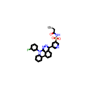 CC(C)(C)CC(=O)NS(=O)(=O)c1cncc(-c2nnc(Nc3cccc(F)c3)c3c(-c4ccccc4)cccc23)c1